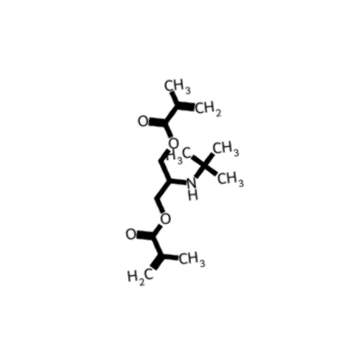 C=C(C)C(=O)OCC(COC(=O)C(=C)C)NC(C)(C)C